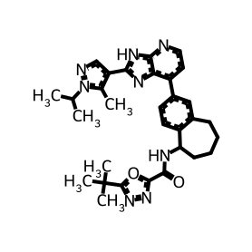 Cc1c(-c2nc3c(-c4ccc5c(c4)CCCCC5NC(=O)c4nnc(C(C)(C)C)o4)ccnc3[nH]2)cnn1C(C)C